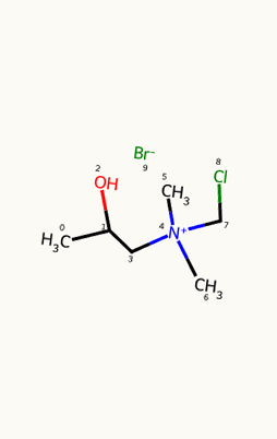 CC(O)C[N+](C)(C)CCl.[Br-]